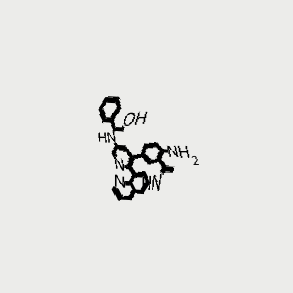 CC(=N)c1cc(-c2cc(NC(CO)c3ccccc3)cnc2-c2cccc3cccnc23)ccc1N